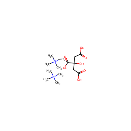 C[N+](C)(C)C.C[N+](C)(C)C.O=C(O)CC(O)(CC(=O)O)C(=O)O